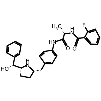 C[C@H](NC(=O)c1ccccc1F)C(=O)Nc1ccc(C[C@@H]2CC[C@H]([C@H](O)c3ccccc3)N2)cc1